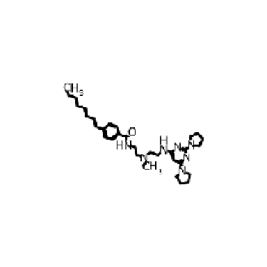 CCCCCCCCc1ccc(C(=O)NCCN(C)CCNc2cc(N3CCCC3)nc(N3CCCC3)n2)cc1